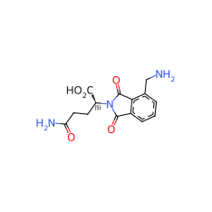 NCc1cccc2c1C(=O)N([C@@H](CCC(N)=O)C(=O)O)C2=O